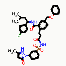 Cc1cc(=O)n(-c2cccc(S(=O)(=O)NC(=O)CCc3ccc(COc4ccccc4)cc3C(=O)NC(CC(C)C)c3ccc(F)cc3)c2)[nH]1